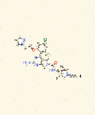 Nc1nc2c(c(-c3c(Cl)cc(Cl)cc3OCCn3cccn3)n1)CN(C(=O)NC1[C@H]3CN(C(=O)O)C[C@@H]13)C2